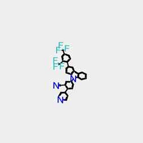 N#Cc1cc(-n2c3ccccc3c3cc(-c4ccc(C(F)(F)F)cc4C(F)(F)F)ccc32)ccc1-c1ccncc1